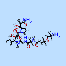 CCC(C)C(C(CC(=O)N1CCCC1C(OC)C(C)C(N)=O)OC)N(C)C(=O)CNC(=O)C(C)(C)N(C)C(=O)CCC(C)(C)OCC(C)(C)N